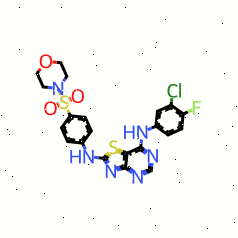 O=S(=O)(c1ccc(Nc2nc3ncnc(Nc4ccc(F)c(Cl)c4)c3s2)cc1)N1CCOCC1